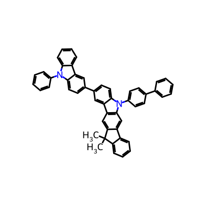 CC1(C)c2ccccc2-c2cc3c(cc21)c1cc(-c2ccc4c(c2)c2ccccc2n4-c2ccccc2)ccc1n3-c1ccc(-c2ccccc2)cc1